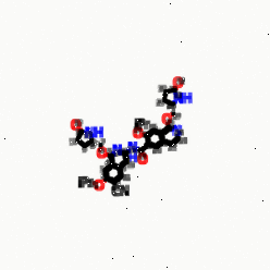 CC(C)Oc1cc2c(OC[C@@H]3CCC(=O)N3)nc(NC(=O)c3cc4ccnc(OC[C@@H]5CCC(=O)N5)c4cc3OC(C)C)cc2cc1C#N